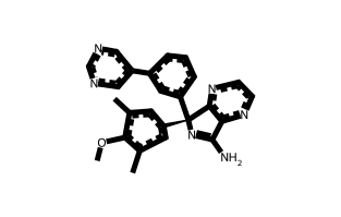 COc1c(C)cc([C@]2(c3cccc(-c4cncnc4)c3)N=C(N)c3nccnc32)cc1C